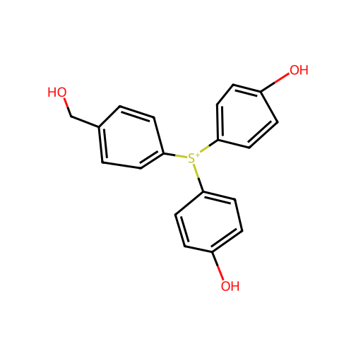 OCc1ccc([S+](c2ccc(O)cc2)c2ccc(O)cc2)cc1